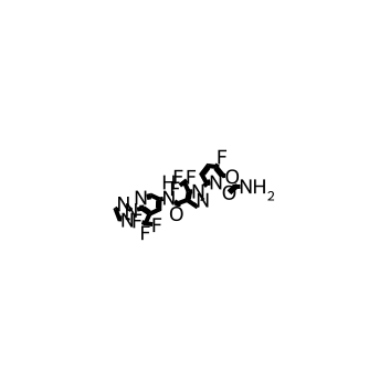 NC(=O)Oc1nc(-n2ncc(C(=O)Nc3cnc(-n4nccn4)c(C(F)(F)F)c3)c2C(F)(F)F)ccc1F